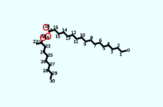 CCCCCCCCCCCCCCCCCC(=O)OOC(C)CCCCCCCC